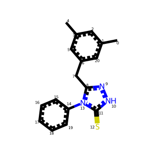 Cc1cc(C)cc(Cc2n[nH]c(=S)n2-c2ccccc2)c1